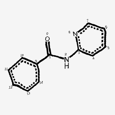 O=C(Nc1cc[c]cn1)c1ccccc1